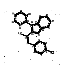 F/C(=C/c1ccc(Cl)cc1)c1cc2ccccc2n1-c1ncccn1